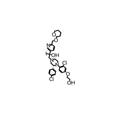 OCCOc1ccc(N2CCN(C[C@](O)(I)c3ccc(COC4CCCCO4)nc3)C[C@H]2c2ccc(Cl)cc2)c(Cl)c1